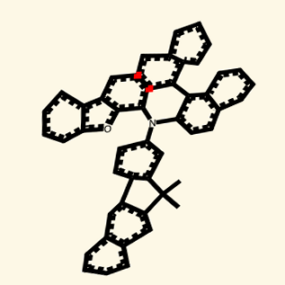 CC1(C)c2cc(N(c3ccc4ccccc4c3-c3cccc4ccccc34)c3cccc4c3oc3ccccc34)ccc2-c2cc3ccccc3cc21